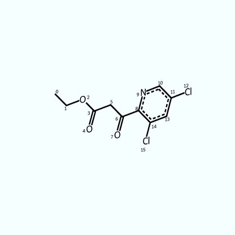 CCOC(=O)CC(=O)c1ncc(Cl)cc1Cl